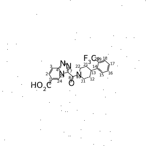 O=C(O)c1ccc2nnc(C(=O)N3CCC(c4ccccc4C(F)(F)F)CC3)n2c1